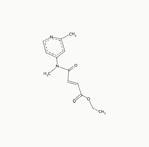 CCOC(=O)/C=C/C(=O)N(C)c1ccnc(C)c1